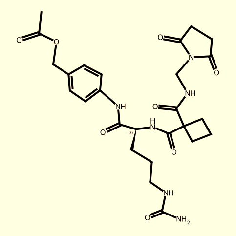 CC(=O)OCc1ccc(NC(=O)[C@H](CCCNC(N)=O)NC(=O)C2(C(=O)NCN3C(=O)CCC3=O)CCC2)cc1